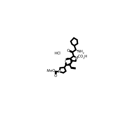 C=Cc1c(C2CCN(C(=O)OC)C2)ccc2c1CN(C(=O)O)C2C(=O)[C@@H](N)C1CCCCC1.Cl